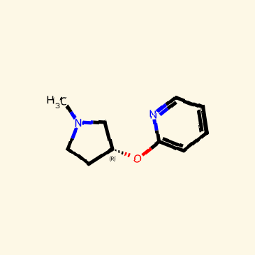 CN1CC[C@@H](Oc2ccccn2)C1